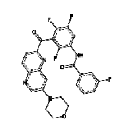 O=C(Nc1cc(F)c(F)c(C(=O)c2ccc3ncc(N4CCOCC4)cc3n2)c1F)c1cccc(F)c1